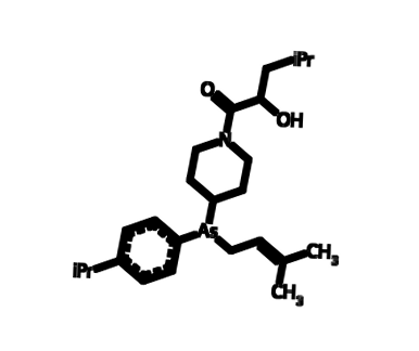 CC(C)=CC[As](c1ccc(C(C)C)cc1)C1CCN(C(=O)C(O)CC(C)C)CC1